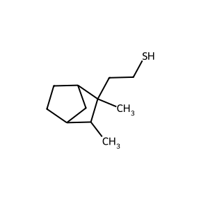 CC1C2CCC(C2)C1(C)CCS